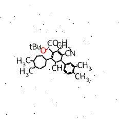 CC1=C(C#N)C(c2ccc(C)c(C)c2)C(C)C(C2CCC(C)C(C)CC2)=C1C(OC(C)(C)C)C(=O)O